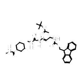 CNC(=O)[C@H]1CC[C@H](CNC(=O)N/N=C/[C@H](CC(=O)OC(C)(C)C)NC(=O)OCC2c3ccccc3-c3ccccc32)CC1